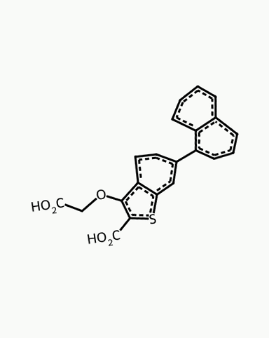 O=C(O)COc1c(C(=O)O)sc2cc(-c3cccc4ccccc34)ccc12